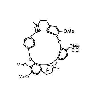 COc1ccc2cc1Oc1cc3c(cc1OC)CC[N+](C)(C)[C@H]3Cc1ccc(cc1)Oc1c(OC)c(OC)cc3c1[C@@H](C2)[N+](C)(C)CC3.[Cl-].[Cl-]